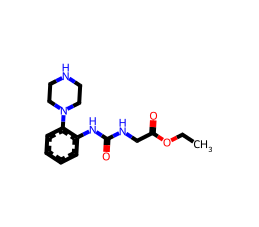 CCOC(=O)CNC(=O)Nc1ccccc1N1CCNCC1